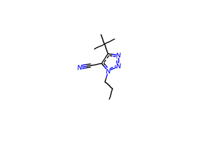 CCCn1nnc(C(C)(C)C)c1C#N